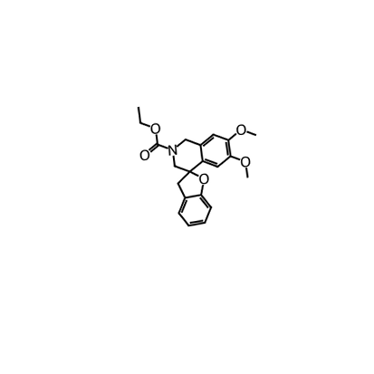 CCOC(=O)N1Cc2cc(OC)c(OC)cc2C2(Cc3ccccc3O2)C1